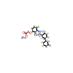 Cc1c(OCC(=O)OC(C)C)ccc(F)c1NCc1cc(-c2cccc(F)c2)ccc1F